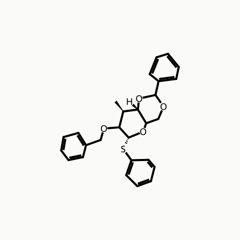 C[C@@H]1C(OCc2ccccc2)[C@@H](Sc2ccccc2)OC2COC(c3ccccc3)O[C@H]21